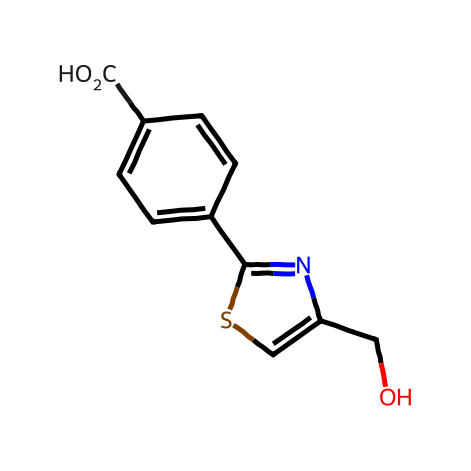 O=C(O)c1ccc(-c2nc(CO)cs2)cc1